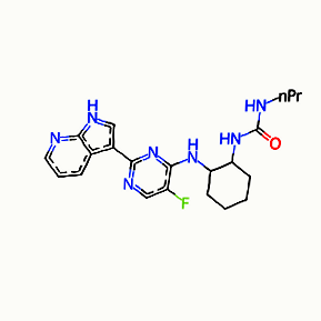 CCCNC(=O)NC1CCCCC1Nc1nc(-c2c[nH]c3ncccc23)ncc1F